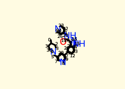 CC1CCN(Cc2cncc(-c3ccc4[nH]nc(C(=O)Nc5ccncc5)c4c3)c2)CC1